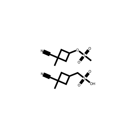 CC1(C#N)CC(CS(=O)(=O)O)C1.CC1(C#N)CC(OS(C)(=O)=O)C1